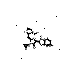 CC[n+]1ccsc1/C=c1\s/c(=C2/Sc3cc(Cl)ccc3N2C)c(=O)n1C1CC1